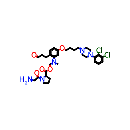 CN(COC(=O)C1CCCN1C(=O)CN)c1cc(OCCCCN2CCN(c3cccc(Cl)c3Cl)CC2)ccc1CCC=O